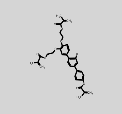 C=C(C)C(=O)OCCOc1ccc(-c2ccc(-c3ccc(OC(=O)C(=C)C)cc3)cc2F)cc1OCCOC(=O)C(=C)C